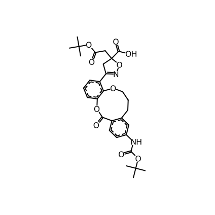 CC(C)(C)OC(=O)CC1(C(=O)O)CC(c2cccc3c2OCCCc2cc(NC(=O)OC(C)(C)C)ccc2C(=O)O3)=NO1